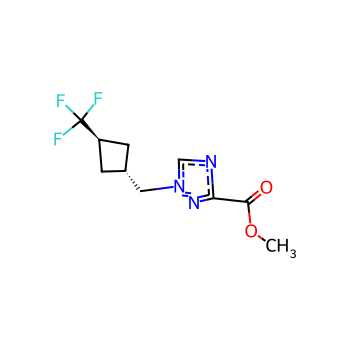 COC(=O)c1ncn(C[C@H]2C[C@H](C(F)(F)F)C2)n1